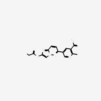 Cc1ncc(-c2ccc3nc(NC(=O)CO)cn3n2)cc1C(N)=O